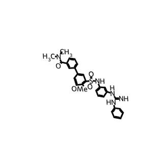 COc1ccc(-c2cccc(C(=O)N(C)C)c2)cc1S(=O)(=O)Nc1cccc(NC(=N)Nc2ccccc2)c1